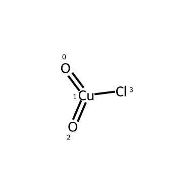 [O]=[Cu](=[O])[Cl]